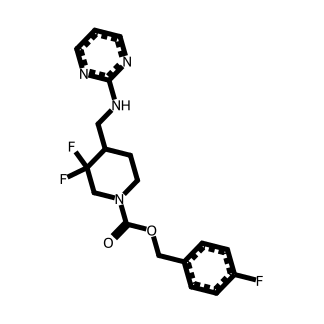 O=C(OCc1ccc(F)cc1)N1CCC(CNc2ncccn2)C(F)(F)C1